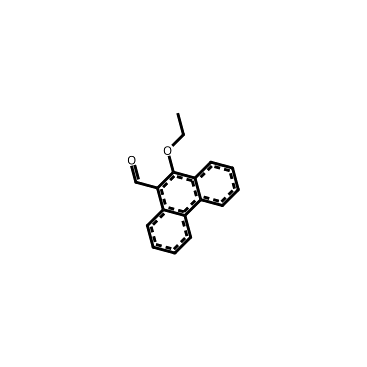 CCOc1c(C=O)c2ccccc2c2ccccc12